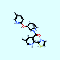 Cc1ccc(OC2CC3CC2N(C(=O)c2cc(C)cnc2-c2nccs2)C3)nc1